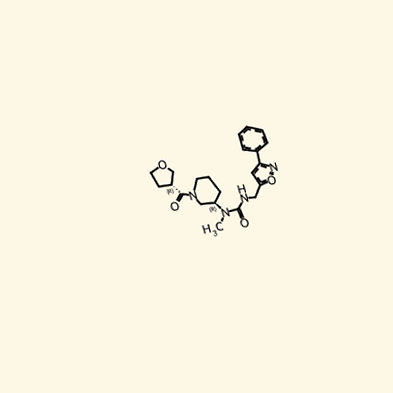 CN(C(=O)NCc1cc(-c2ccccc2)no1)[C@@H]1CCCN(C(=O)[C@@H]2CCOC2)C1